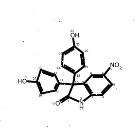 O=C1Nc2ccc([N+](=O)[O-])cc2C1(c1ccc(O)cc1)c1ccc(O)cc1